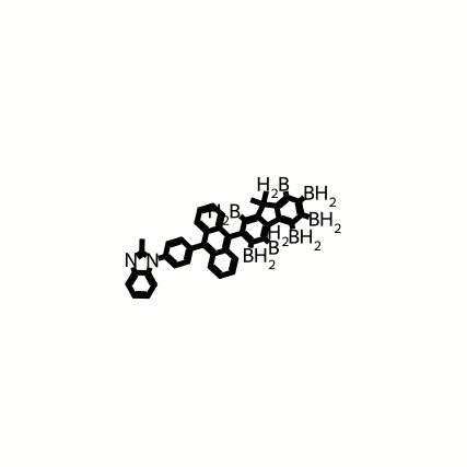 Bc1c(B)c(B)c2c(c1B)-c1c(B)c(B)c(-c3c4ccccc4c(-c4ccc(-n5c(C)nc6ccccc65)cc4)c4ccccc34)c(B)c1C2(C)C